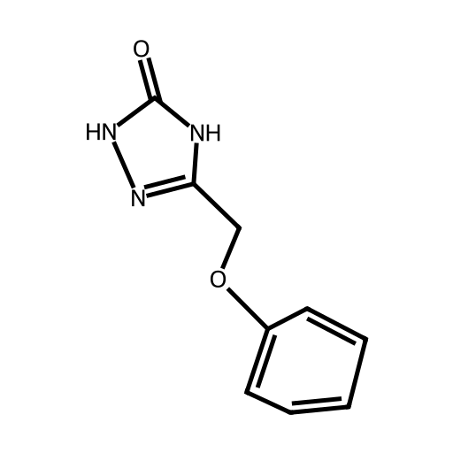 O=c1[nH]nc(COc2ccccc2)[nH]1